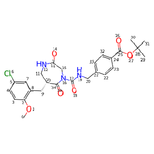 COc1ccc(Cl)cc1C[C@@H]1CNC(=O)CN(C(=O)NCc2ccc(C(=O)OC(C)(C)C)cc2)C1=O